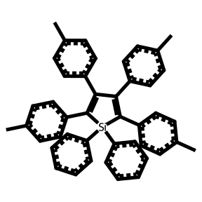 Cc1ccc(C2=C(c3ccc(C)cc3)[Si](c3ccccc3)(c3ccccc3)C(c3ccc(C)cc3)=C2c2ccc(C)cc2)cc1